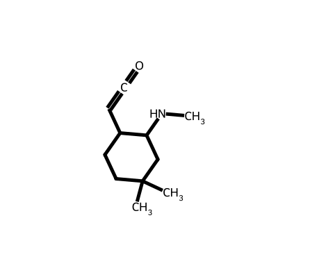 CNC1CC(C)(C)CCC1C=C=O